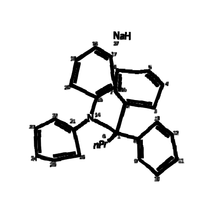 CCCC(c1ccccc1)(c1ccccc1)N(c1ccccc1)c1ccccc1.[NaH]